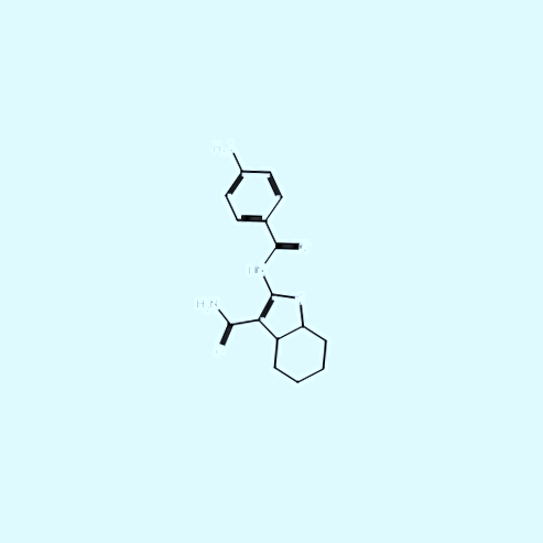 Cc1ccc(C(=O)NC2=C(C(N)=O)C3CCCCC3S2)cc1